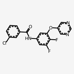 O=C(Nc1cc(F)c(F)c(Oc2cncnc2)c1)c1cccc(Cl)c1